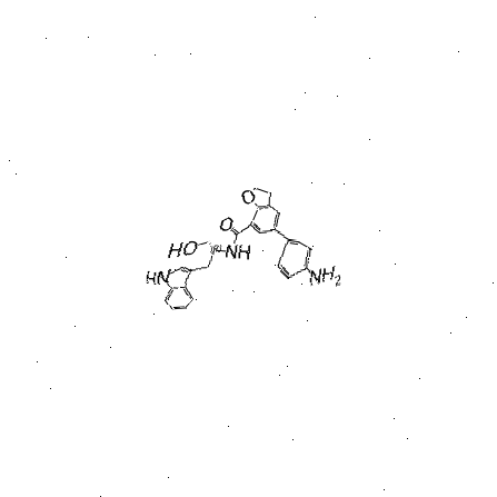 Nc1ccc(-c2cc3c(c(C(=O)N[C@@H](CO)Cc4c[nH]c5ccccc45)c2)OCC3)cc1